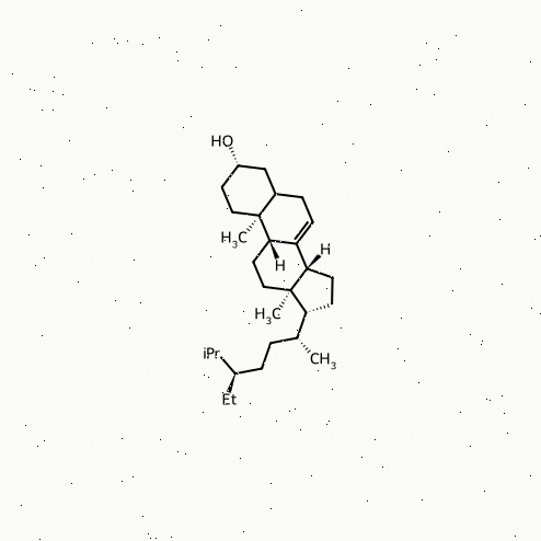 CC[C@H](CC[C@@H](C)[C@H]1CC[C@H]2C3=CCC4C[C@@H](O)CC[C@]4(C)[C@H]3CC[C@]12C)C(C)C